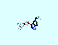 C=Cc1ccc2[nH]cc(C(=O)OC(C)(C)C)c2c1